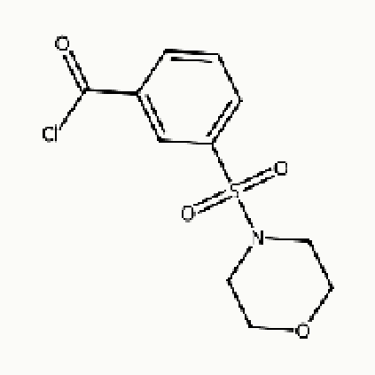 O=C(Cl)c1cccc(S(=O)(=O)N2CCOCC2)c1